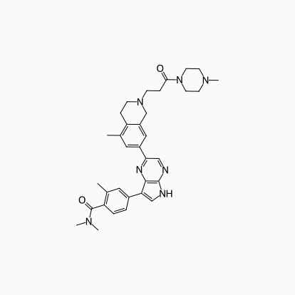 Cc1cc(-c2c[nH]c3ncc(-c4cc(C)c5c(c4)CN(CCC(=O)N4CCN(C)CC4)CC5)nc23)ccc1C(=O)N(C)C